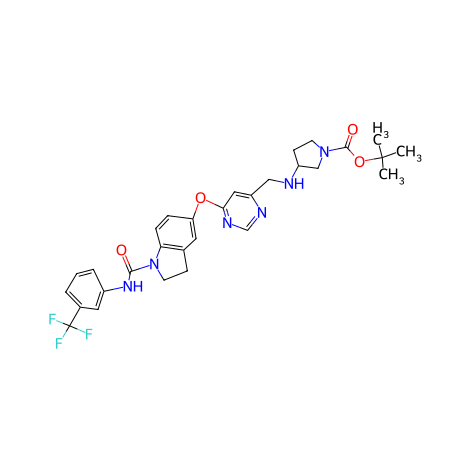 CC(C)(C)OC(=O)N1CCC(NCc2cc(Oc3ccc4c(c3)CCN4C(=O)Nc3cccc(C(F)(F)F)c3)ncn2)C1